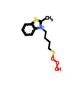 Cc1sc2ccccc2[n+]1CCCCSOOO